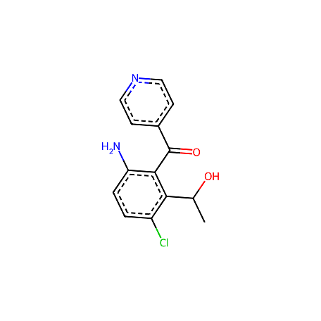 CC(O)c1c(Cl)ccc(N)c1C(=O)c1ccncc1